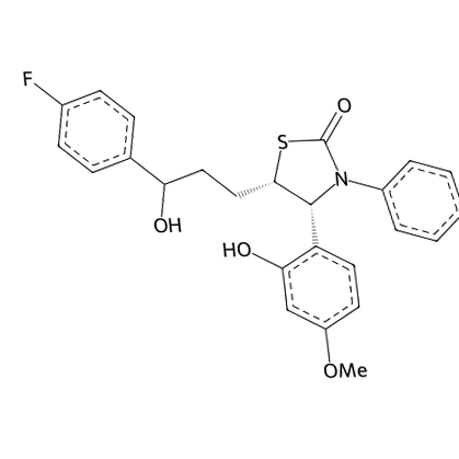 COc1ccc([C@@H]2[C@H](CCC(O)c3ccc(F)cc3)SC(=O)N2c2ccccc2)c(O)c1